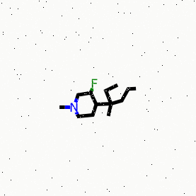 CCCC(C)(CC)C1CCN(C)CC1F